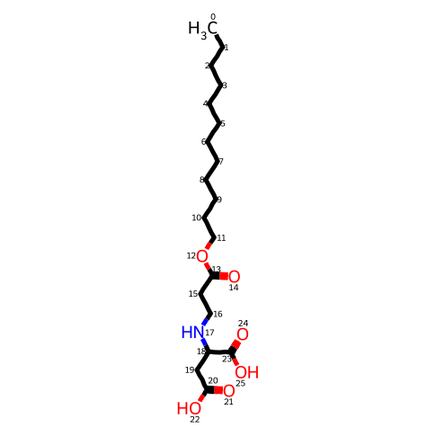 CCCCCCCCCCCCOC(=O)CCNC(CC(=O)O)C(=O)O